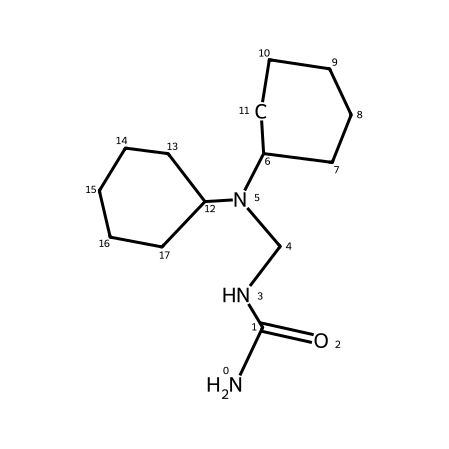 NC(=O)NCN(C1CCCCC1)C1CCCCC1